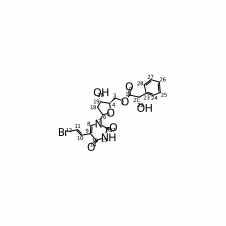 O=C(OC[C@H]1O[C@@H](n2cc(C=CBr)c(=O)[nH]c2=O)C[C@@H]1O)[C@@H](O)c1ccccc1